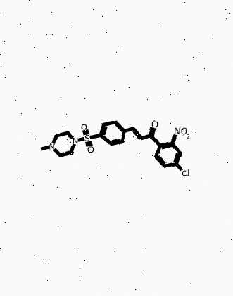 CN1CCN(S(=O)(=O)c2ccc(C=CC(=O)c3ccc(Cl)cc3[N+](=O)[O-])cc2)CC1